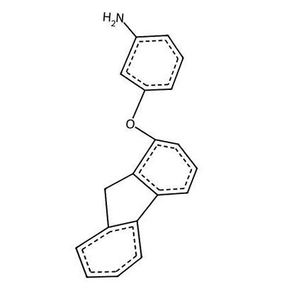 Nc1cccc(Oc2cccc3c2Cc2ccccc2-3)c1